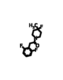 CC1(F)CCN(C(=O)Cc2c(F)cccc2F)CC1